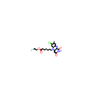 Cc1cc2nc3c(=O)[nH]c(=O)cc-3n(CCCCCCC(=O)OCCF)c2cc1Cl